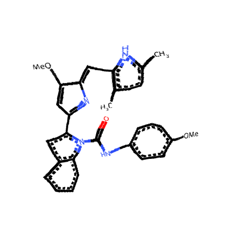 COC1=CC(c2cc3ccccc3n2C(=O)Nc2ccc(OC)cc2)=N/C1=C\c1[nH]c(C)cc1C